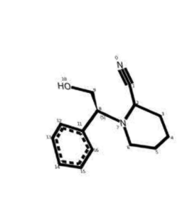 N#CC1CCCCN1[C@H](CO)c1ccccc1